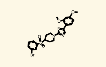 COc1ccc(-c2csc(N3CCC(S(=O)(=O)c4cccc(Br)c4)CC3)n2)c(OC)c1